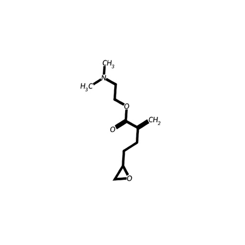 C=C(CCC1CO1)C(=O)OCCN(C)C